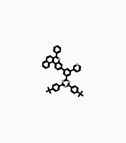 CC(C)(C)c1ccc(-c2nc(-c3ccc(C(C)(C)C)cc3)nc(-c3cc(-c4cccnc4)cc(-c4ccc5c(c4)nc(-c4ccccc4)c4ccc6ccccc6c45)c3)n2)cc1